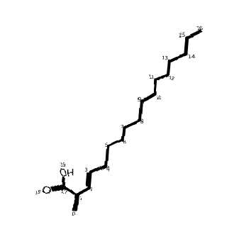 C=C(C=CCCCCCCCCCCCCC)C(=O)O